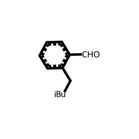 CCC(C)Cc1ccccc1C=O